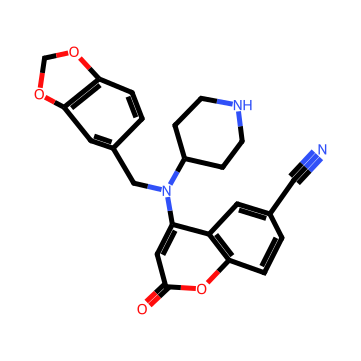 N#Cc1ccc2oc(=O)cc(N(Cc3ccc4c(c3)OCO4)C3CCNCC3)c2c1